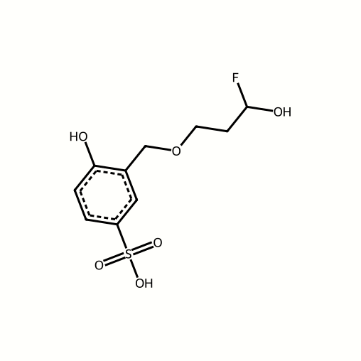 O=S(=O)(O)c1ccc(O)c(COCCC(O)F)c1